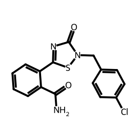 NC(=O)c1ccccc1-c1nc(=O)n(Cc2ccc(Cl)cc2)s1